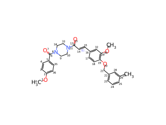 COc1ccc(C(=O)N2CCN(C(=O)/C=C/c3ccc(OCc4cccc(C)c4)c(OC)c3)CC2)cc1